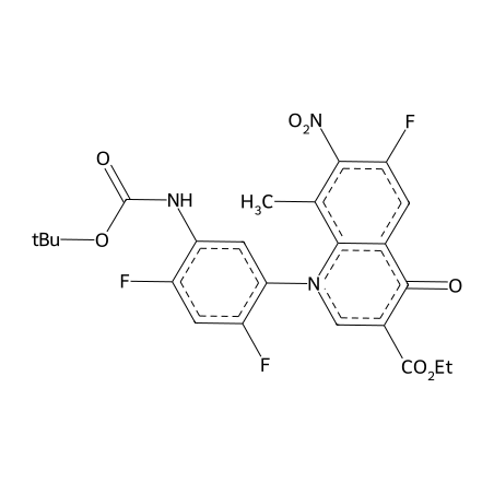 CCOC(=O)c1cn(-c2cc(NC(=O)OC(C)(C)C)c(F)cc2F)c2c(C)c([N+](=O)[O-])c(F)cc2c1=O